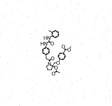 COC(=O)c1ccc(OC[C@@]2(OC(C)=O)CCCN2C(=O)Cc2ccc(NC(=O)Nc3ccccc3C)cc2)cc1